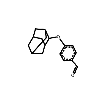 O=Cc1ccc(OC2C3CC4CC(C3)CC2C4)cc1